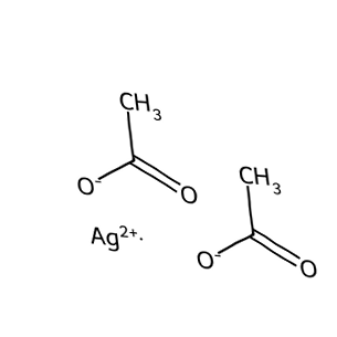 CC(=O)[O-].CC(=O)[O-].[Ag+2]